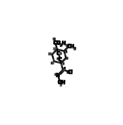 CC1CC2(C(Cl)=NO)CCC1(C(=O)O)CC2